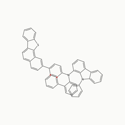 c1ccc(-c2ccccc2N(c2ccc(-c3ccc4ccc5c6ccccc6sc5c4c3)cc2)c2cccc3c4ccccc4n(-c4ccccc4)c23)cc1